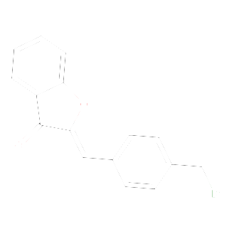 O=C1/C(=C/c2ccc(CBr)cc2)Oc2ccccc21